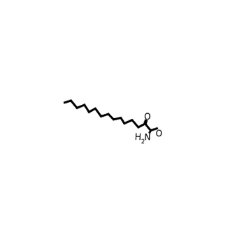 CCCCCCCCCCCCCC(=O)C(N)C=O